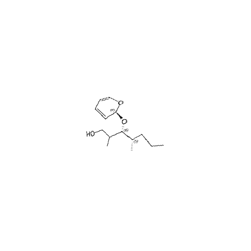 CCC[C@H](C)[C@@H](O[C@H]1C=CC=CO1)C(C)CO